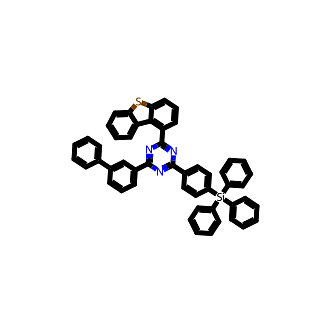 c1ccc(-c2cccc(-c3nc(-c4ccc([Si](c5ccccc5)(c5ccccc5)c5ccccc5)cc4)nc(-c4cccc5sc6ccccc6c45)n3)c2)cc1